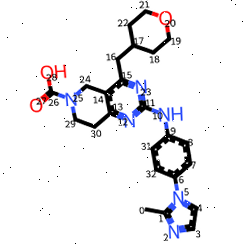 Cc1nccn1-c1ccc(Nc2nc3c(c(CC4CCOCC4)n2)CN(C(=O)O)CC3)cc1